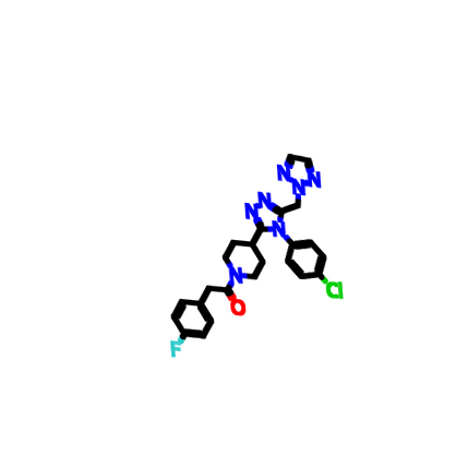 O=C(Cc1ccc(F)cc1)N1CCC(c2nnc(Cn3nccn3)n2-c2ccc(Cl)cc2)CC1